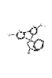 CCCCC(CC)C[Si]1(c2ccccc2)c2cc(C)sc2-c2sc(C)cc21